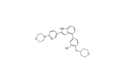 N#Cc1cc(-c2cccc3[nH]c(-c4ccc(N5CCOCC5)nc4)cc23)ccc1OC1CCOCC1